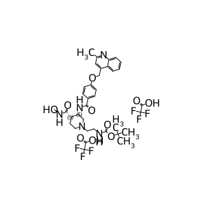 Cc1cc(COc2ccc(C(=O)N[C@@H]3CN(CCNC(=O)OC(C)(C)C)CC[C@@H]3C(=O)NO)cc2)c2ccccc2n1.O=C(O)C(F)(F)F.O=C(O)C(F)(F)F